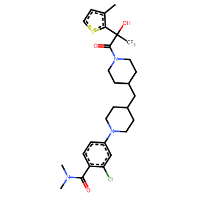 Cc1ccsc1C(O)(C(=O)N1CCC(CC2CCN(c3ccc(C(=O)N(C)C)c(Cl)c3)CC2)CC1)C(F)(F)F